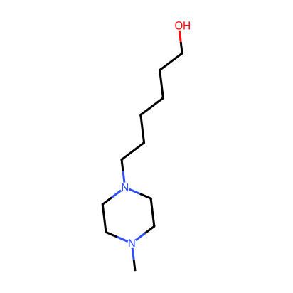 CN1CCN(CCCCCCO)CC1